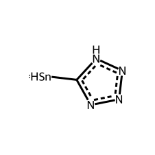 [SnH][c]1nnn[nH]1